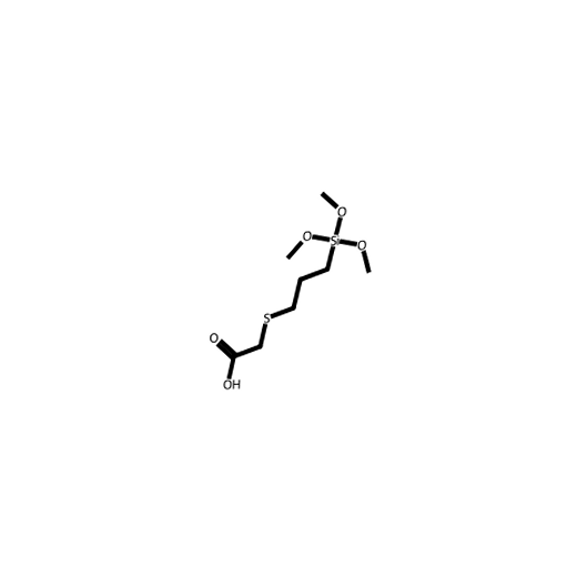 CO[Si](CCCSCC(=O)O)(OC)OC